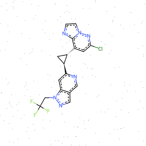 FC(F)(F)Cn1ncc2cnc([C@H]3C[C@@H]3c3cc(Cl)nn4ccnc34)cc21